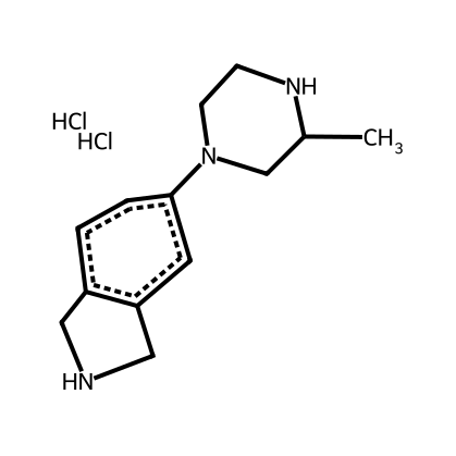 CC1CN(c2ccc3c(c2)CNC3)CCN1.Cl.Cl